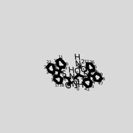 CNC(=O)C(CSC(c1ccccc1)(c1ccccc1)c1ccccc1)NC(=O)C(CSC(c1ccccc1)(c1ccccc1)c1ccccc1)OC(N)=O